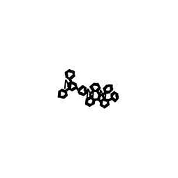 c1ccc(-c2cc(-c3ccc(N4c5ccccc5-c5c(n(-c6ccccc6)c6c(-c7ccccc7)cccc56)-c5ccccc54)cc3)cc(-c3ccccc3)n2)cc1